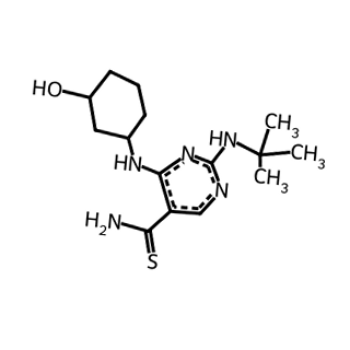 CC(C)(C)Nc1ncc(C(N)=S)c(NC2CCCC(O)C2)n1